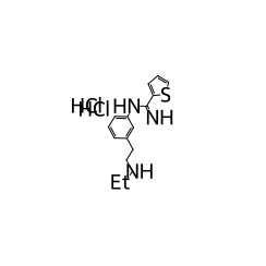 CCNCCc1cccc(NC(=N)c2cccs2)c1.Cl.Cl